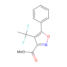 COC(=O)c1noc(-c2ccccc2)c1C(C)(F)F